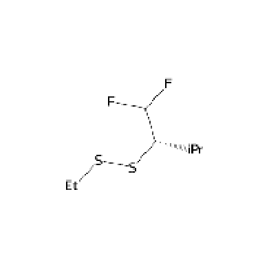 CCSS[C@@H](C(C)C)C(F)F